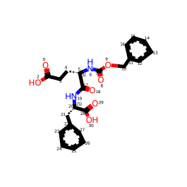 O=C(O)CC[C@H](NC(=O)OCc1ccccc1)C(=O)N[C@@H](Cc1ccccc1)C(=O)O